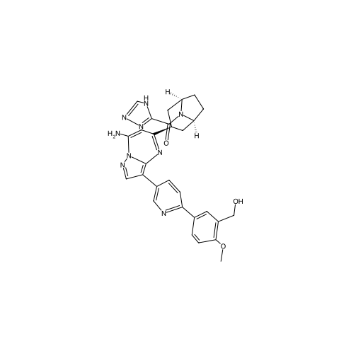 COc1ccc(-c2ccc(-c3cnn4c(N)cc([C@H]5C[C@H]6CC[C@@H](C5)N6C(=O)c5nnc[nH]5)nc34)cn2)cc1CO